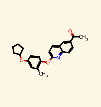 CC(=O)c1ccc2nc(Oc3ccc(OC4CCCC4)cc3C)ccc2c1